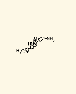 COc1ccc(-c2ccc3c(c2)Nc2nc(=O)n(C4CCN(CCCN)CC4)cc2O3)cc1F